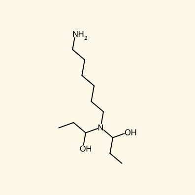 CCC(O)N(CCCCCCN)C(O)CC